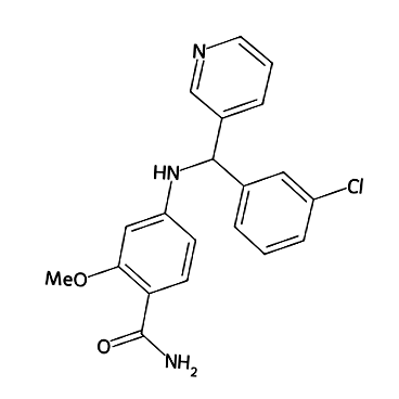 COc1cc(NC(c2cccnc2)c2cccc(Cl)c2)ccc1C(N)=O